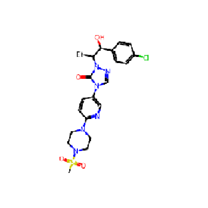 CCC(C(O)c1ccc(Cl)cc1)n1ncn(-c2ccc(N3CCN(S(C)(=O)=O)CC3)nc2)c1=O